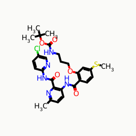 CSc1ccc(C(=O)Nc2ccc(C)nc2C(=O)Nc2ccc(Cl)cn2)c(OCCCNC(=O)OC(C)(C)C)c1